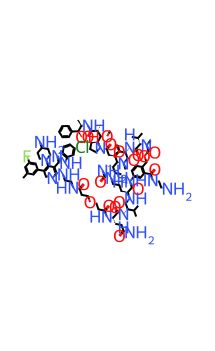 CC[C@H](C)[C@@H]([C@@H](CC(=O)N1CCC[C@H]1[C@H](OC)[C@@H](C)C(=O)N[C@H](C)[C@@H](O)c1ccccc1)OC)N(C)C(=O)[C@@H](NC(=O)[C@H](C(C)C)N(C)C(=O)OCc1ccc(NC(=O)[C@H](CCCNC(N)=O)NC(=O)[C@@H](NC(=O)[C@H](CCC(N)=O)NC(=O)CCOCCC(=O)NCCNc2ncc(-c3cc(C)cc(F)c3)c(N3CCC(N)CC3)c2-c2nc3ccc(Cl)cc3[nH]2)C(C)C)cc1C(=O)NCCN)C(C)C